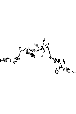 CCC(=O)NCC[N+](C)(C)CCCS(=O)(=O)O